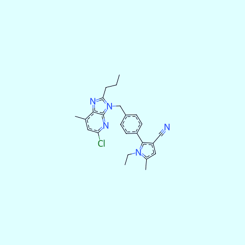 CCCc1nc2c(C)cc(Cl)nc2n1Cc1ccc(-c2c(C#N)cc(C)n2CC)cc1